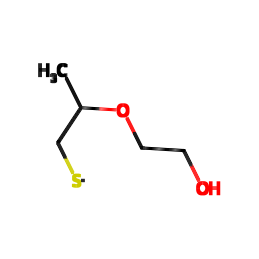 CC(C[S])OCCO